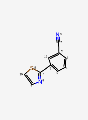 N#Cc1cccc(-c2nccs2)c1